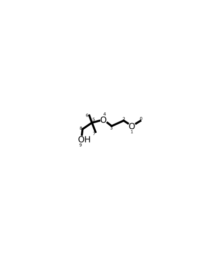 COCCOC(C)(C)CO